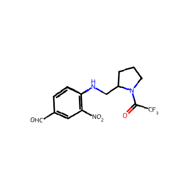 O=Cc1ccc(NCC2CCCN2C(=O)C(F)(F)F)c([N+](=O)[O-])c1